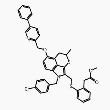 COC(=O)Cc1ccccc1SCc1c2c3c(c(OCc4ccc(-c5ccccc5)cn4)ccc3n1Cc1ccc(Cl)cc1)CC(C)S2